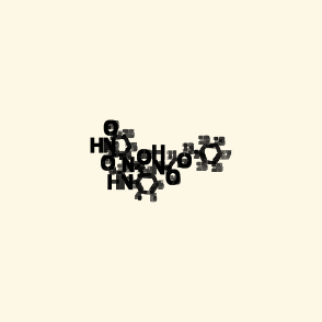 CC1Nc2cccc(NC(=O)COCc3ccccc3)c2C(=O)N1C1CCC(=O)NC1=O